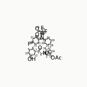 CC(=O)OC1C[N+]2(CC(=O)c3cccc(O)c3)CCC1CC2.Fc1ccc(Nc2ccccc2)cc1.O=C([O-])C(F)(F)F